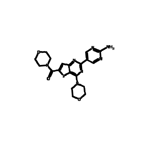 Nc1ncc(-c2nc(N3CCOCC3)c3sc(C(=O)N4CCOCC4)cc3n2)cn1